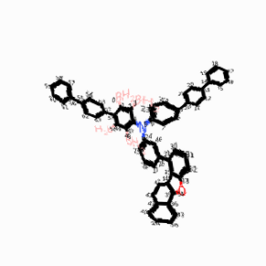 Bc1c(B)c(N(c2ccc(-c3ccc(-c4ccccc4)cc3)cc2)c2cccc(-c3cccc4oc5c6ccccc6ccc5c34)c2)c(B)c(B)c1-c1ccc(-c2ccccc2)cc1